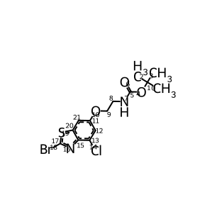 CC(C)(C)OC(=O)NCCOc1cc(Cl)c2nc(Br)sc2c1